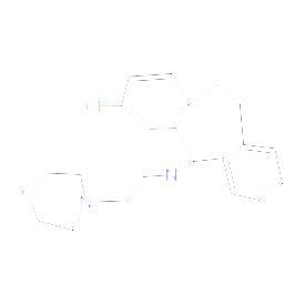 Clc1ccc2c(c1)C(=NCCN1CCOCC1)c1ccccc1CC2